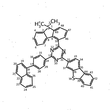 CS1(C)c2ccccc2-c2c(-c3nc(-c4ccc(-c5cccc6ccccc56)cc4)nc(-c4ccc5c(c4)sc4ccccc45)n3)cccc21